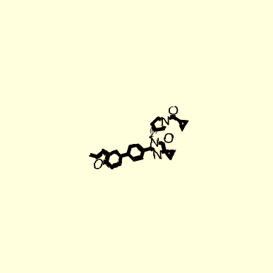 Cc1cc2c(o1)C=CC(C1C=CC(C3=NC4(CC4)C(=O)N3C[C@@H]3CCN(C(=O)C4CC4)C3)=CC1)C2